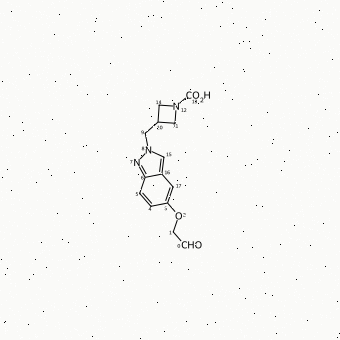 O=CCOc1ccc2nn(CC3CN(C(=O)O)C3)cc2c1